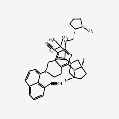 C#Cc1cccc2cccc(N3CCc4c(N5[C@@H]6CC[C@H]5CN(C(=O)OC(C)(C)C)C6)nc(OC[C@@H]5CCCN5C)c(C#N)c4C3)c12